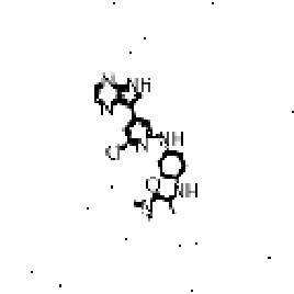 C[C@H](N[C@H]1CC[C@H](Nc2cc(-c3c[nH]c4nccnc34)cc(Cl)n2)CC1)C(=O)N(C)C